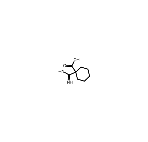 [NH]C(=N)C1(C(=O)O)CCCCC1